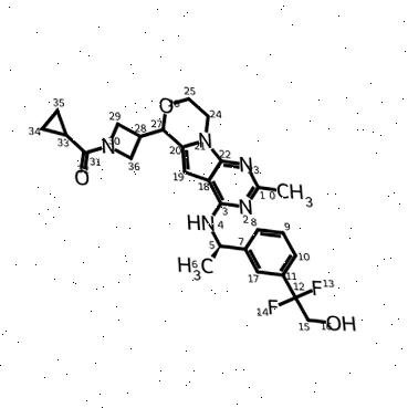 Cc1nc(N[C@H](C)c2cccc(C(F)(F)CO)c2)c2cc3n(c2n1)CCOC3C1CN(C(=O)C2CC2)C1